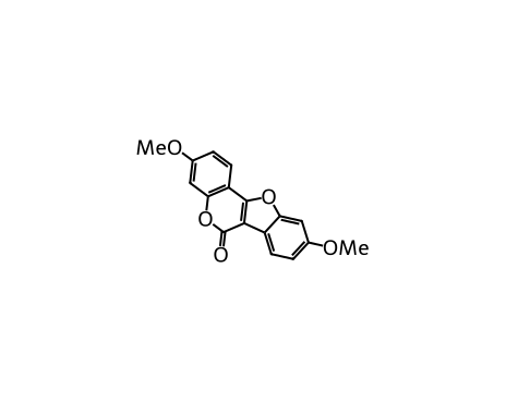 COc1ccc2c(c1)oc(=O)c1c3ccc(OC)cc3oc21